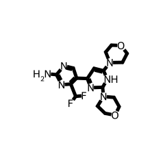 Nc1ncc(C2=NC(N3CCOCC3)NC(N3CCOCC3)=C2)c(C(F)F)n1